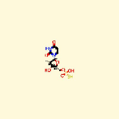 C[C@H]1[C@H](O)[C@@H](COP(=O)(O)S)O[C@H]1n1ccc(=O)[nH]c1=O